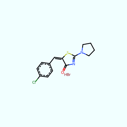 Br.O=C1N=C(N2CCCC2)SC1=Cc1ccc(Cl)cc1